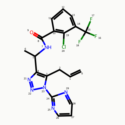 C=CCc1c(C(C)NC(=O)c2cccc(C(F)(F)F)c2Cl)nnn1-c1ncccn1